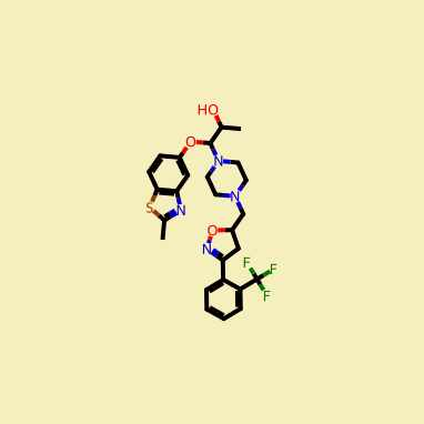 Cc1nc2cc(OC(C(C)O)N3CCN(CC4CC(c5ccccc5C(F)(F)F)=NO4)CC3)ccc2s1